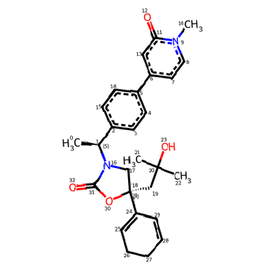 C[C@@H](c1ccc(-c2ccn(C)c(=O)c2)cc1)N1C[C@@](CC(C)(C)O)(C2=CCCC=C2)OC1=O